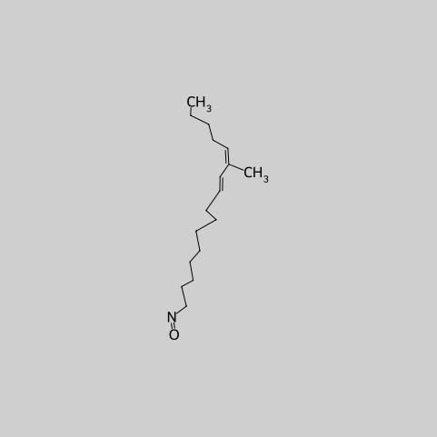 CCCC/C=C(C)\C=C\CCCCCCCCN=O